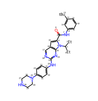 CCC(CC)n1c(C(=O)Nc2cccc(C(C)(C)C)c2)cc2cnc(Nc3ccc(N4CCNCC4)cc3)nc21